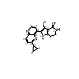 O=C1NCCc2[nH]c(-c3ccnc4ccc(C5CC5)nc34)c(I)c21